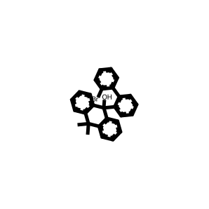 CC1(C)c2ccccc2C(O)(c2ccccc2-c2ccccc2Br)c2ccccc21